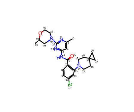 Cc1cc(NC(=O)c2ccc(Br)cc2N2CCC3(CC2)CC3)nc(N2CCO[C@H](C)C2)n1